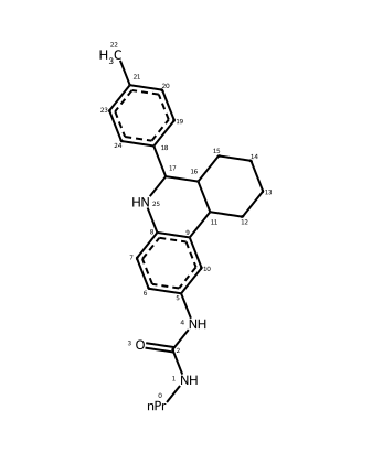 CCCNC(=O)Nc1ccc2c(c1)C1CCCCC1C(c1ccc(C)cc1)N2